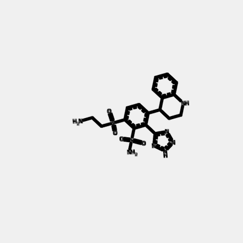 NCCS(=O)(=O)c1ccc(C2CCNc3ccccc32)c(-c2nn[nH]n2)c1S(N)(=O)=O